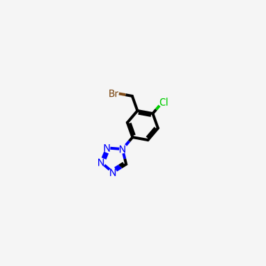 Clc1ccc(-n2cnnn2)cc1CBr